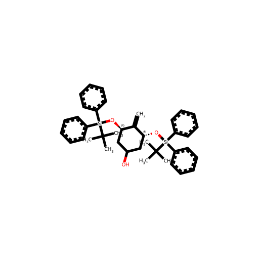 C=C1[C@H](O[Si](c2ccccc2)(c2ccccc2)C(C)(C)C)CC(O)C[C@H]1O[Si](c1ccccc1)(c1ccccc1)C(C)(C)C